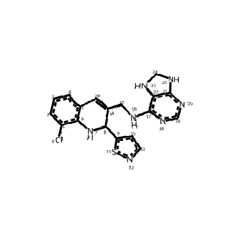 Clc1cccc2c1NC(c1ccns1)C(CNc1ncnc3c1NCN3)=C2